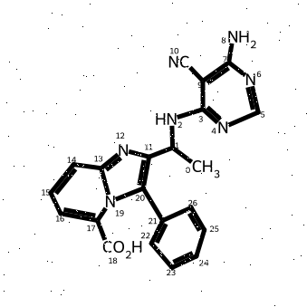 CC(Nc1ncnc(N)c1C#N)c1nc2cccc(C(=O)O)n2c1-c1ccccc1